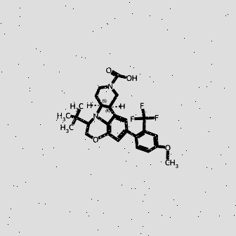 COc1ccc(-c2cc3c4c(c2)[C@@H]2CN(C(=O)O)CC[C@@H]2N4C(C(C)(C)C)CO3)c(C(F)(F)F)c1